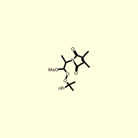 CCCC(C)(C)OOC(OC)C(C)N1C(=O)C(C)=C(C)C1=O